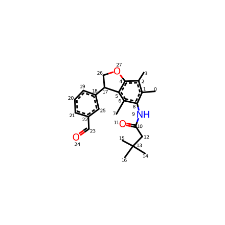 Cc1c(C)c2c(c(C)c1NC(=O)CC(C)(C)C)C(c1cccc(C=O)c1)CO2